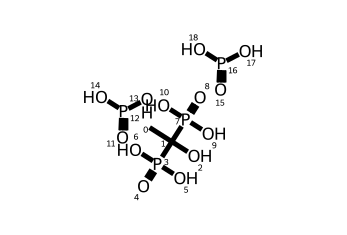 CC(O)(P(=O)(O)O)P(=O)(O)O.O=[PH](O)O.O=[PH](O)O